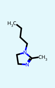 CCCCN1CCN=C1C